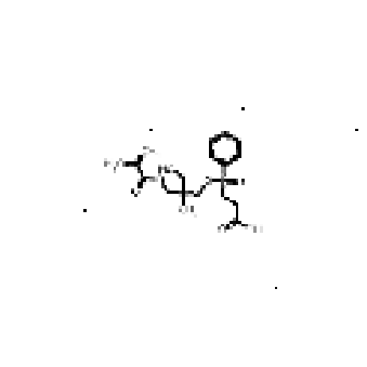 C=C(C)C(=O)OCC(C)(CO)COP(=O)(CCC(=O)O)c1ccccc1